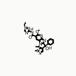 CCn1cnc(NC(=O)c2cc3c(nc2OC)nc(C(O)(c2ccccc2)c2cnn(C)c2)n3CC)n1